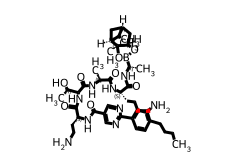 CCCCc1ccc(-c2ncc(C(=O)N[C@@H](CCN)C(=O)NC(C(=O)N[C@@H](C)C(=O)N[C@@H](CCCCN)C(=O)N[C@@H](C)B3O[C@@H]4C[C@@H]5C[C@@H](C5(C)C)[C@]4(C)O3)[C@@H](C)O)cn2)cc1